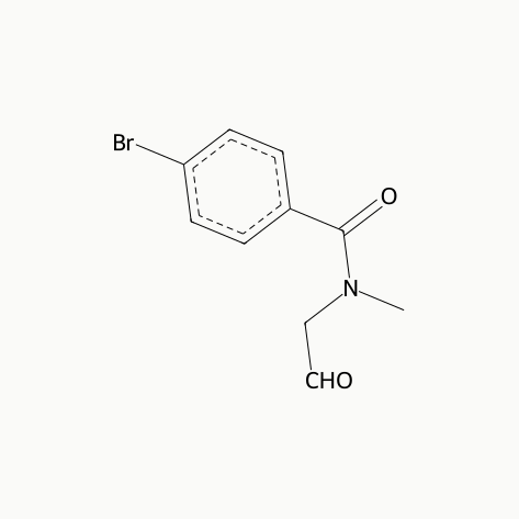 CN(CC=O)C(=O)c1ccc(Br)cc1